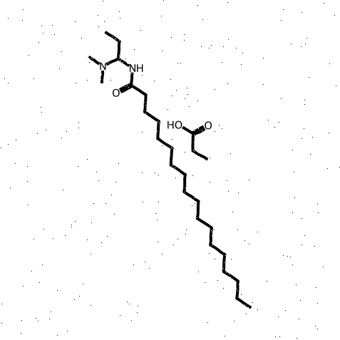 CCC(=O)O.CCCCCCCCCCCCCCCCCC(=O)NC(CC)N(C)C